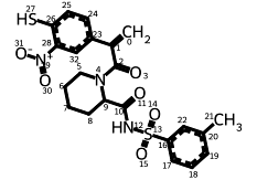 C=C(C(=O)N1CCCCC1C(=O)NS(=O)(=O)c1cccc(C)c1)c1ccc(S)c([N+](=O)[O-])c1